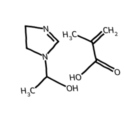 C=C(C)C(=O)O.CC(O)N1C=NCC1